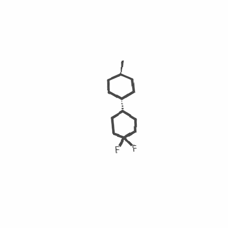 C[C@H]1CC[C@H](C2CCC(F)(F)CC2)CC1